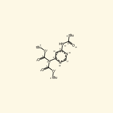 CC(C)(C)OC(=O)N(C(=O)OC(C)(C)C)c1cc(NC(=O)C(C)(C)C)ncn1